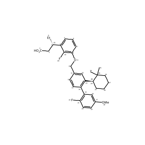 CC[C@@H](CC(=O)O)c1cccc(OCc2ccc(-c3cc(OC)ccc3F)c([C@@H]3CCCCC3(C)C)c2)c1F